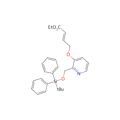 CCOC(=O)C=CCOc1cccnc1CO[Si](c1ccccc1)(c1ccccc1)C(C)(C)C